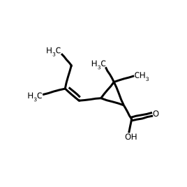 CCC(C)=CC1C(C(=O)O)C1(C)C